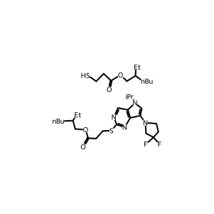 CCCCC(CC)COC(=O)CCS.CCCCC(CC)COC(=O)CCSc1ncc2c(n1)c(N1CCC(F)(F)C1)cn2C(C)C